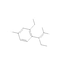 CC(C)(C)CC(=C(C(=O)O)C(=O)O)c1ccc(N)cc1CC(C)(C)C